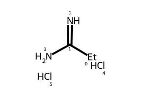 CCC(=N)N.Cl.Cl